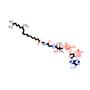 CC(C)CCCCC(C)C/C=C\CCCCCCCC(=O)SCCNC(=O)CCNC(=O)[C@H](O)C(C)(C)COP(=O)(O)OP(=O)(O)OC[C@H]1O[C@@H](n2cnc3c(N)ncnc32)[C@H](O)[C@@H]1OP(=O)(O)O